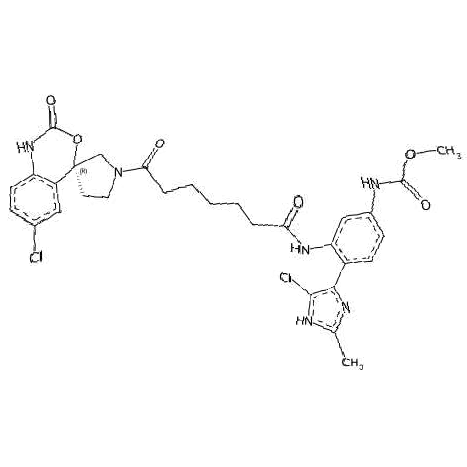 COC(=O)Nc1ccc(-c2nc(C)[nH]c2Cl)c(NC(=O)CCCCCC(=O)N2CC[C@@]3(C2)OC(=O)Nc2ccc(Cl)cc23)c1